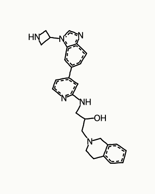 OC(CNc1cc(-c2ccc3ncn(C4CNC4)c3c2)ccn1)CN1CCc2ccccc2C1